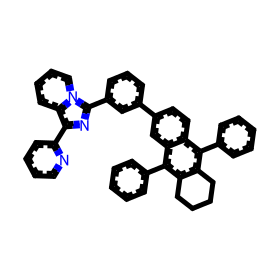 c1ccc(-c2c3c(c(-c4ccccc4)c4cc(-c5cccc(-c6nc(-c7ccccn7)c7ccccn67)c5)ccc24)CCCC3)cc1